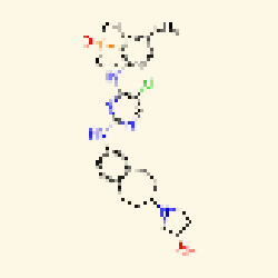 Cc1ccc(Nc2nc(Nc3ccc4c(c3)CC[C@@H](N3CC[C@@H](O)C3)CC4)ncc2Cl)c(P(C)(C)=O)c1